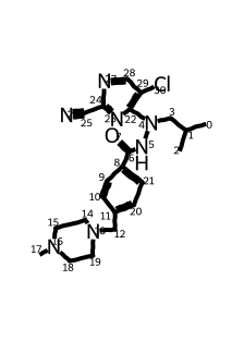 CC(C)CN(NC(=O)c1ccc(CN2CCN(C)CC2)cc1)c1nc(C#N)ncc1Cl